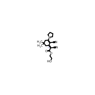 CC1(C)CC(N2CCCC2)=C(C#N)/C(=C(\C#N)C(=O)OCCO)C1